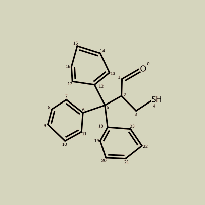 O=CC(CS)C(c1ccccc1)(c1ccccc1)c1ccccc1